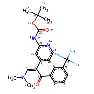 CN(C)/C=C(\C(=O)c1cccc(C(F)(F)F)c1)c1ccnc(NC(=O)OC(C)(C)C)c1